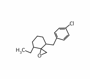 CCC1CCCC(Cc2ccc(Cl)cc2)C12CO2